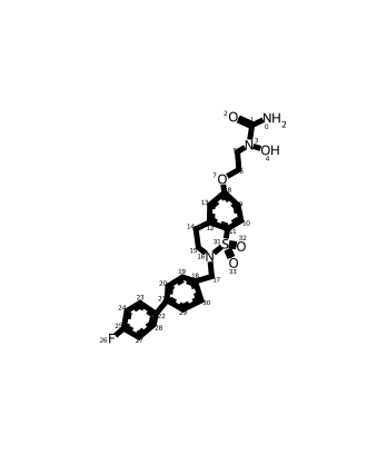 NC(=O)N(O)CCOc1ccc2c(c1)CCN(Cc1ccc(-c3ccc(F)cc3)cc1)S2(=O)=O